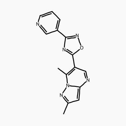 Cc1cc2ncc(-c3nc(-c4cccnc4)no3)c(C)n2n1